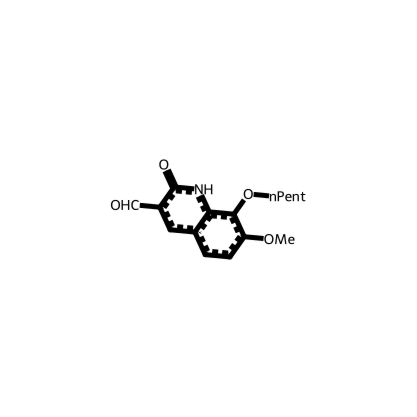 CCCCCOc1c(OC)ccc2cc(C=O)c(=O)[nH]c12